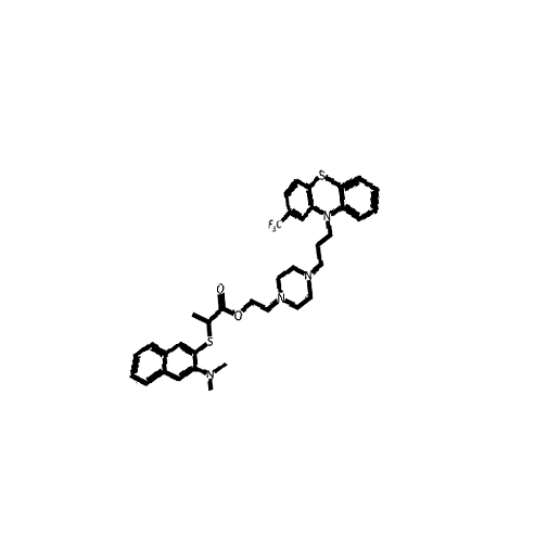 CC(Sc1cc2ccccc2cc1N(C)C)C(=O)OCCN1CCN(CCCN2c3ccccc3Sc3ccc(C(F)(F)F)cc32)CC1